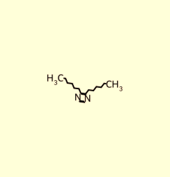 CCCCCCc1nccnc1CCCCCC